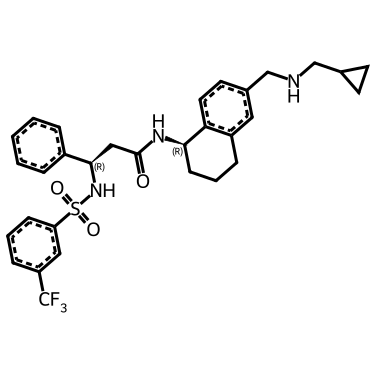 O=C(C[C@@H](NS(=O)(=O)c1cccc(C(F)(F)F)c1)c1ccccc1)N[C@@H]1CCCc2cc(CNCC3CC3)ccc21